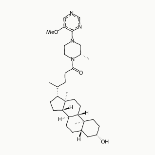 COc1cncnc1N1CCN(C(=O)CCC(C)[C@H]2CC[C@H]3[C@@H]4CC[C@H]5C[C@@H](O)CC[C@]5(C)[C@H]4CC[C@]23C)[C@@H](C)C1